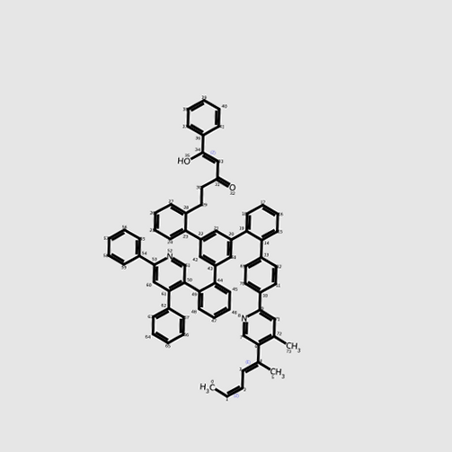 C/C=C\C=C(/C)c1cnc(-c2ccc(-c3ccccc3-c3cc(-c4ccccc4CCC(=O)/C=C(\O)c4ccccc4)cc(-c4ccccc4-c4cnc(-c5ccccc5)cc4-c4ccccc4)c3)cc2)cc1C